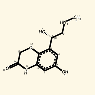 CNC[C@@H](O)c1cc(O)cc2c1OCC(=O)N2